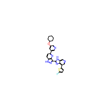 Fc1ccc(-c2cncc3[nH]c(-c4n[nH]c5ccc(-c6cncc(OC7CCCCC7)c6)nc45)nc23)s1